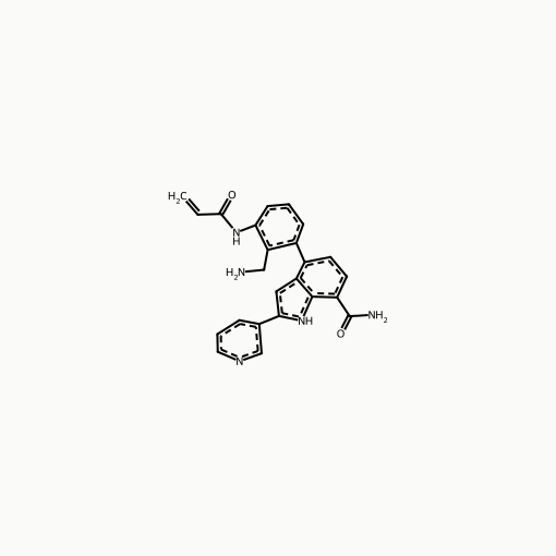 C=CC(=O)Nc1cccc(-c2ccc(C(N)=O)c3[nH]c(-c4cccnc4)cc23)c1CN